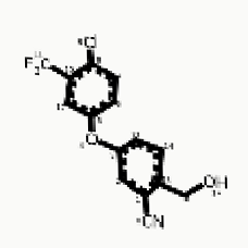 N#Cc1cc(Oc2ccc(Cl)c(C(F)(F)F)c2)ccc1CO